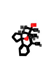 C=C(C)c1ccccc1C1(OC(C)(C)C(C)(C)O)CCCC1